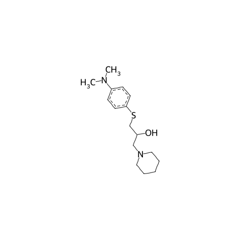 CN(C)c1ccc(SCC(O)CN2CCCCC2)cc1